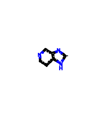 [c]1nc2cnccc2[nH]1